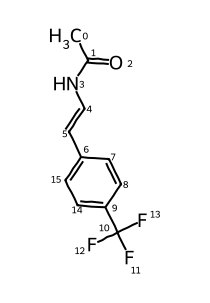 CC(=O)NC=Cc1ccc(C(F)(F)F)cc1